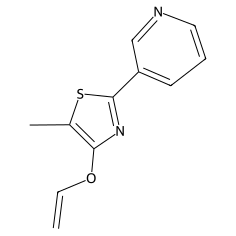 C=COc1nc(-c2cccnc2)sc1C